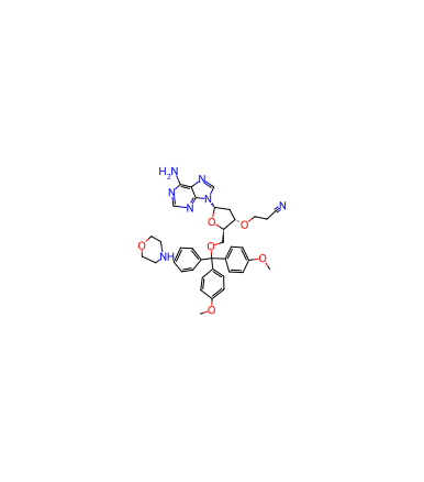 C1COCCN1.COc1ccc(C(OC[C@H]2O[C@@H](n3cnc4c(N)ncnc43)C[C@@H]2OCCC#N)(c2ccccc2)c2ccc(OC)cc2)cc1